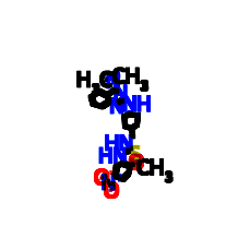 COc1ccc([N+](=O)[O-])cc1NC(=S)NCC1CCC(Nc2nc(N(C)C)c3ccccc3n2)CC1